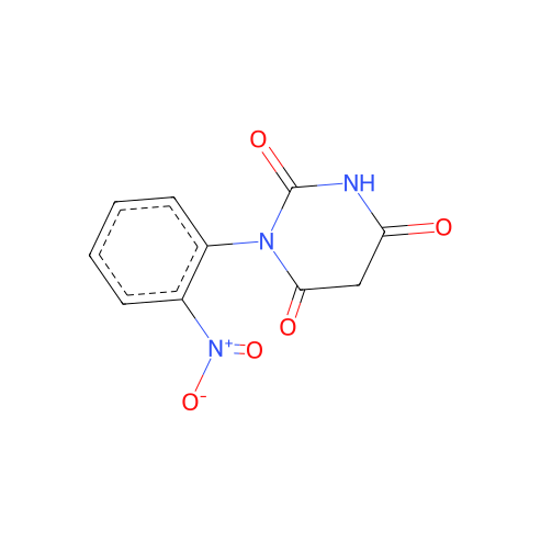 O=C1CC(=O)N(c2ccccc2[N+](=O)[O-])C(=O)N1